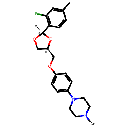 CC(=O)N1CCN(c2ccc(OC[C@H]3CO[C@@](C)(c4ccc(C)cc4F)O3)cc2)CC1